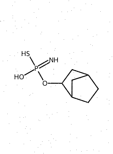 N=P(O)(S)OC1CC2CCC1C2